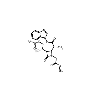 C[C@@H](C(=O)On1nnc2ccccc21)[C@@H]1[C@H]([C@@H](CO[SiH](C)C)C(C)(C)C)C(=O)N1CC(=O)OC(C)(C)C